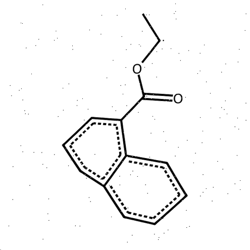 C[CH]OC(=O)c1cccc2ccccc12